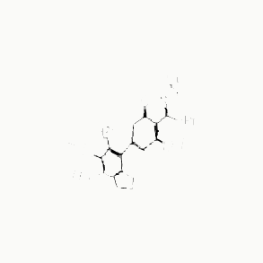 CCCC(=NOCC)C1=C(O)CC(c2c(Br)c(C)c(C)c3c2CCC3)CC1=O